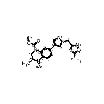 CC(=O)N1c2ccc(-c3cnn(Cc4noc(C)n4)c3)cc2N(C(=O)OC(C)C)C[C@@H]1C